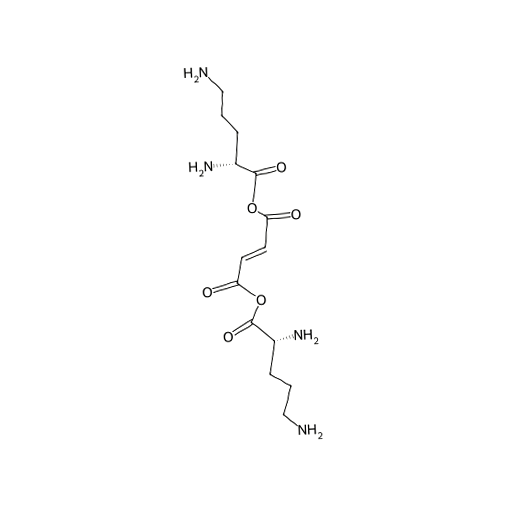 NCCC[C@@H](N)C(=O)OC(=O)/C=C/C(=O)OC(=O)[C@H](N)CCCN